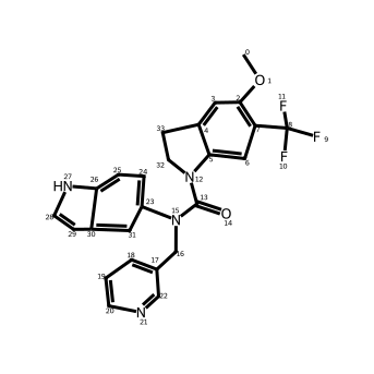 COc1cc2c(cc1C(F)(F)F)N(C(=O)N(Cc1cccnc1)c1ccc3[nH]ccc3c1)CC2